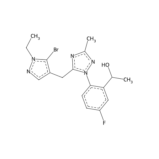 CCn1ncc(Cc2nc(C)nn2-c2ccc(F)cc2C(C)O)c1Br